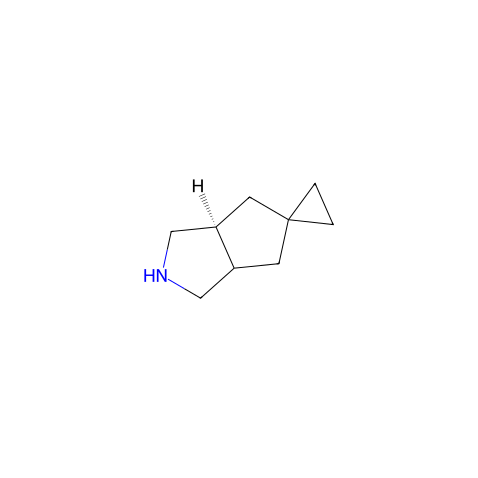 C1NC[C@H]2CC3(CC3)CC12